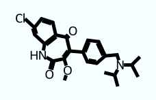 COc1c(-c2ccc(CN(C(C)C)C(C)C)cc2)c(=O)c2ccc(Cl)cc2[nH]c1=O